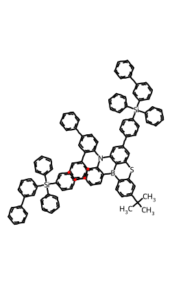 CC(C)(C)c1ccc2c(c1)Sc1cc(-c3ccc([Si](c4ccccc4)(c4ccccc4)c4cccc(-c5ccccc5)c4)cc3)cc3c1B2c1ccc(-c2ccc([Si](c4ccccc4)(c4ccccc4)c4cccc(-c5ccccc5)c4)cc2)cc1N3c1ccc(-c2ccccc2)cc1-c1ccccc1